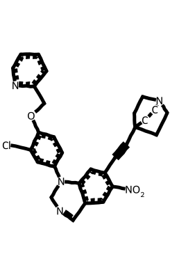 O=[N+]([O-])c1cc2c(cc1C#CC13CCN(CC1)CC3)N(c1ccc(OCc3ccccn3)c(Cl)c1)CN=C2